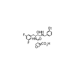 CCc1cccc(CNC[C@@H](O)[C@H](Cc2cc(F)cc(F)c2)NC(=O)[C@H]2COCN2C(=O)O)c1